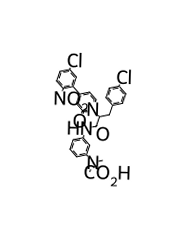 CN(C(=O)O)c1cccc(NC(=O)C(Cc2ccc(Cl)cc2)n2ccc(-c3cc(Cl)ccc3[N+](=O)[O-])cc2=O)c1